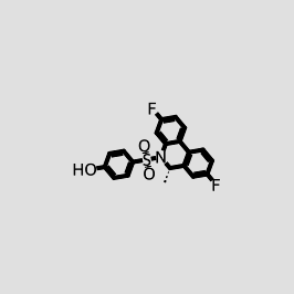 C[C@H]1c2cc(F)ccc2-c2ccc(F)cc2N1S(=O)(=O)c1ccc(O)cc1